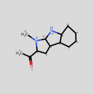 CC(=O)C1CC2C3CCCCC3NC2N1C